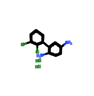 Cl.Cl.Nc1ccc(N)c(-c2cccc(Cl)c2Cl)c1